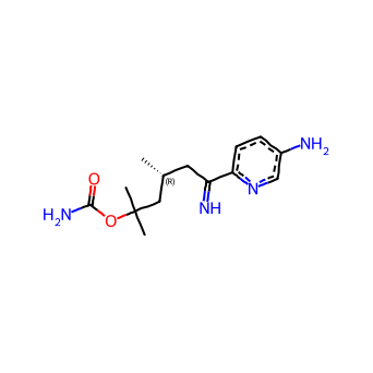 C[C@H](CC(=N)c1ccc(N)cn1)CC(C)(C)OC(N)=O